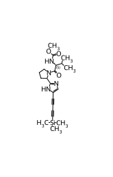 COC(=O)N[C@H](C(=O)N1CCCC1c1ncc(C#CC#C[Si](C)(C)C)[nH]1)C(C)C